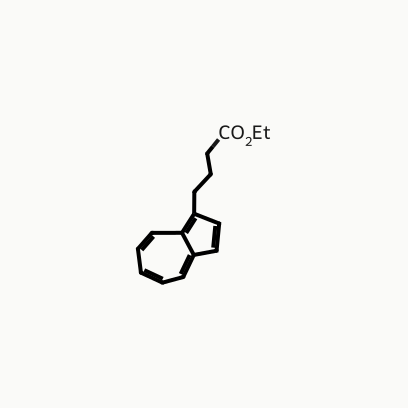 CCOC(=O)CCCc1ccc2cccccc1-2